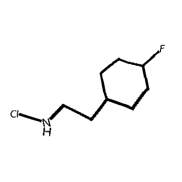 FC1CCC(CCNCl)CC1